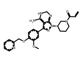 C=CC(=O)N1CCC[C@@H](n2nc(-c3ccc(OCc4ccccn4)c(OC)c3)c3c2=NCNC=3N)C1